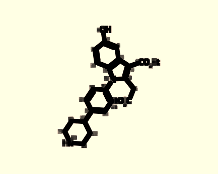 CCOC(=O)Cc1c(C(=O)OCC)c2cc(O)ccc2n1-c1ccc(C2CCNCC2)cc1